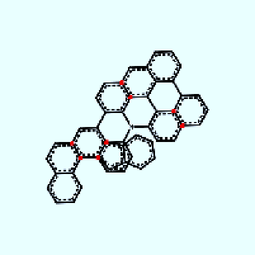 c1ccc(-c2cccc3cccc(-c4ccccc4N(c4cccc(-c5cccc6ccccc56)c4)c4ccccc4-c4cccc5oc6ccccc6c45)c23)cc1